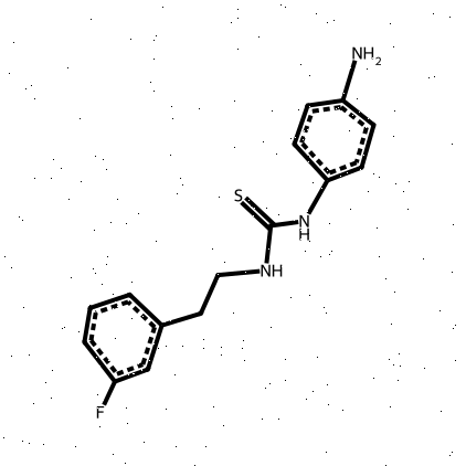 Nc1ccc(NC(=S)NCCc2cccc(F)c2)cc1